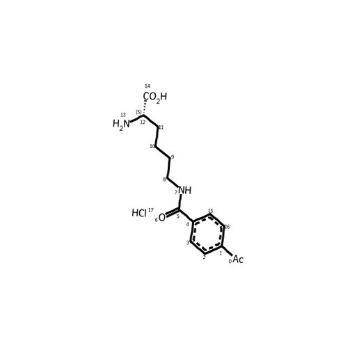 CC(=O)c1ccc(C(=O)NCCCC[C@H](N)C(=O)O)cc1.Cl